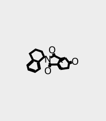 O=C1CC2=C3C(=O)N(C4CCCc5ccccc54)C(=O)C3C1CC2